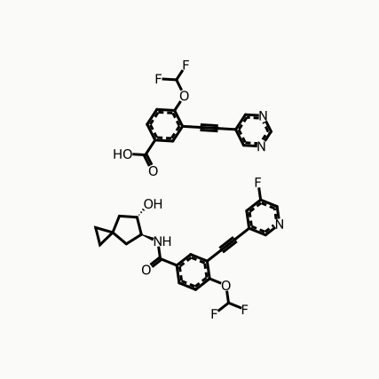 O=C(N[C@H]1CC2(CC2)C[C@@H]1O)c1ccc(OC(F)F)c(C#Cc2cncc(F)c2)c1.O=C(O)c1ccc(OC(F)F)c(C#Cc2cncnc2)c1